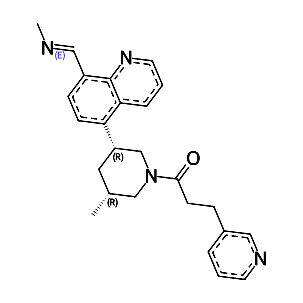 C/N=C/c1ccc([C@H]2C[C@@H](C)CN(C(=O)CCc3cccnc3)C2)c2cccnc12